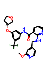 COc1cc(CNc2ncccc2C(=O)Nc2cc(O[C@@H]3CCOC3)cc(C(F)(F)F)c2)ccn1